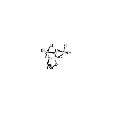 CC[Si](CC)(CC)[O][Ti]([O]C(C)(C)C)([O]C(C)(C)C)[O][Si](CC)(CC)CC